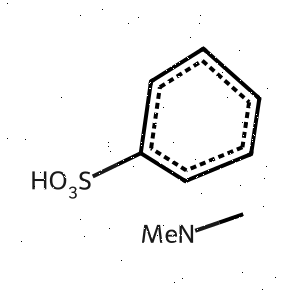 CNC.O=S(=O)(O)c1ccccc1